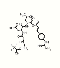 CCNCC(=O)N[C@@H](CC(=O)O)C(=O)N[C@@H](CC(C)C)C(=O)OC(=O)C=Cc1ccc(NC(=N)N)cc1.O=C(O)C(F)(F)F